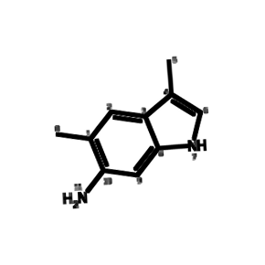 Cc1cc2c(C)c[nH]c2cc1N